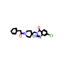 COC1(Cn2cnc3cc(Cl)ccc3c2=O)CCN(C(=O)Cc2ccccc2)CC1